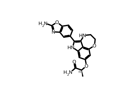 C[C@H](Oc1cc2c3c(c(-c4ccc5oc(N)nc5c4)[nH]c3c1)NCCO2)C(N)=O